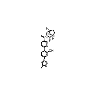 C=C(c1ccc(-c2ccc(-n3nnc(C)n3)cc2O)nn1)[C@@H]1C[C@H]2CC[C@H](N2)[C@H]1F